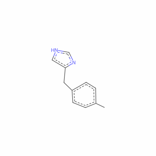 Cc1ccc(Cc2c[nH]cn2)cc1